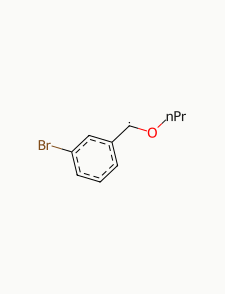 CCCO[CH]c1cccc(Br)c1